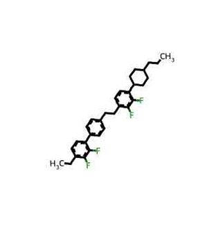 CCCC1CCC(c2ccc(CCc3ccc(-c4ccc(CC)c(F)c4F)cc3)c(F)c2F)CC1